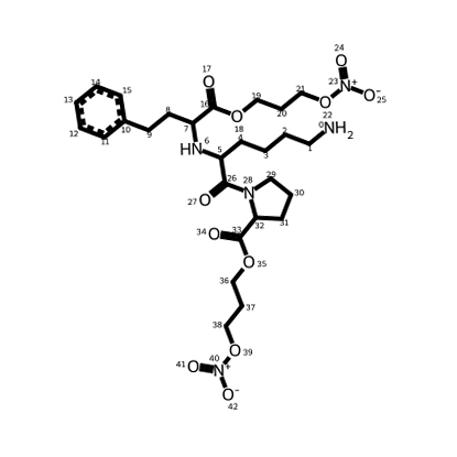 NCCCCC(NC(CCc1ccccc1)C(=O)OCCCO[N+](=O)[O-])C(=O)N1CCCC1C(=O)OCCCO[N+](=O)[O-]